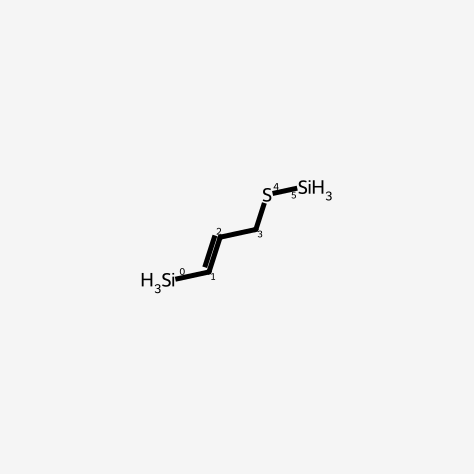 [SiH3]C=CCS[SiH3]